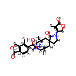 CC1=C(N2CCC3(C[C@H]4CN(C)C[C@@H](C3)N4C[C@H](O)c3ccc4c(c3C)COC4=O)C2=O)COC1=O